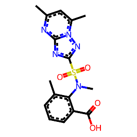 Cc1cc(C)n2nc(S(=O)(=O)N(C)c3c(C)cccc3C(=O)O)nc2n1